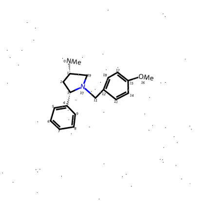 CN[C@H]1C[C@@H](c2ccccc2)N(Cc2ccc(OC)cc2)C1